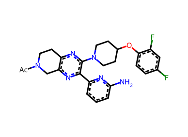 CC(=O)N1CCc2nc(N3CCC(Oc4ccc(F)cc4F)CC3)c(-c3cccc(N)n3)nc2C1